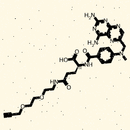 C#CCOCCOCCNC(=O)CC[C@H](NC(=O)c1ccc(N(C)Cc2cnc3nc(N)nc(N)c3n2)cc1)C(=O)O